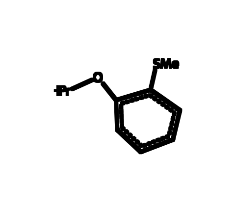 CSc1ccccc1O[C](C)C